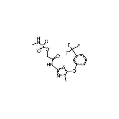 CNS(=O)(=O)OCC(=O)Nc1nc(C)c(Oc2cccc(C(F)(F)F)c2)s1